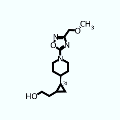 COCc1noc(N2CCC([C@H]3CC3CCO)CC2)n1